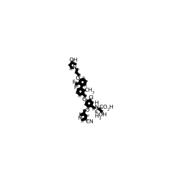 Cc1c(COc2cc(OCc3cncc(C#N)c3)c(CNC(C)(CO)C(=O)O)cc2Cl)cccc1-c1cccc(OCCCN2CC[C@@H](O)C2)c1C(F)F